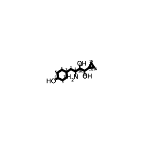 N[C@@H](CC1CCC(O)CC1)[C@@H](O)[C@@H](O)C1CC1